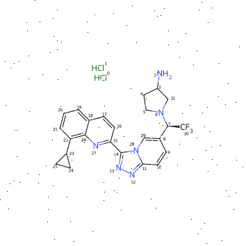 Cl.Cl.NC1CCN([C@H](c2ccc3nnc(-c4ccc5cccc(C6CC6)c5n4)n3c2)C(F)(F)F)C1